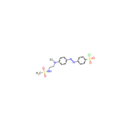 CCN(CCNS(C)(=O)=O)c1ccc(/N=N/c2ccc(S(=O)(=O)Cl)cc2)cc1